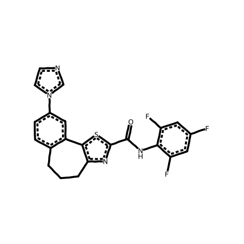 O=C(Nc1c(F)cc(F)cc1F)c1nc2c(s1)-c1cc(-n3ccnc3)ccc1CCC2